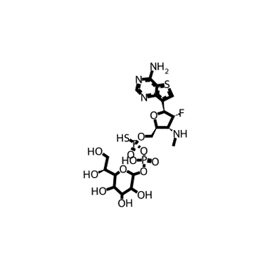 CN[C@H]1[C@@H](F)[C@H](c2csc3c(N)ncnc23)O[C@@H]1COP(=O)(S)OP(=O)(O)OC1OC([C@@H](O)CO)C(O)C(O)C1O